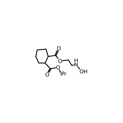 CC(C)OC(=O)C1CCCCC1C(=O)OCCNO